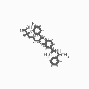 C=C(NC(C)c1ccccc1)c1ccc2nc(-c3ccc(F)cc3)c(CCCC(F)(F)C(=O)O)nc2c1